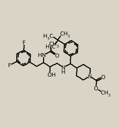 COC(=O)N1CCC(C(NCC(O)C(Cc2cc(F)cc(F)c2)NC(C)=O)c2cccc(C(C)(C)C)c2)CC1